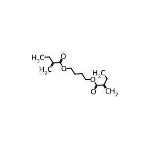 C=C(CC)C(=O)OCCCCOC(=O)C(=C)CC